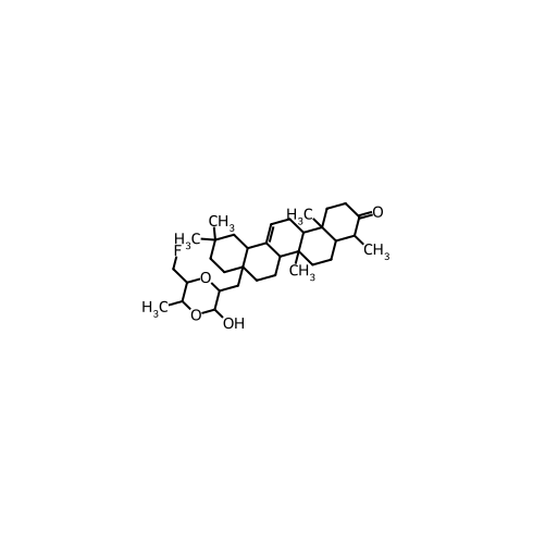 CC1OC(O)C(CC23CCC4C(=CCC5C4(C)CCC4C(C)C(=O)CCC45C)C2CC(C)(C)CC3)OC1CF